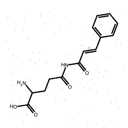 NC(CCC(=O)NC(=O)/C=C/c1ccccc1)C(=O)O